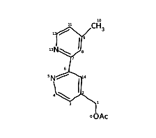 CC(=O)OCc1ccnc(-c2cc(C)ccn2)c1